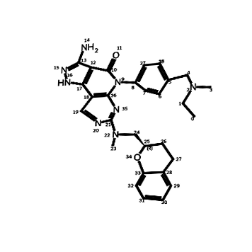 CCN(C)Cc1ccc(-n2c(=O)c3c(N)n[nH]c3c3cnc(N(C)C[C@H]4CCc5ccccc5O4)nc32)cc1